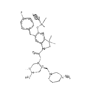 C[C@@H]1CN(CC(=O)N2CC(C)(C)c3nc(O[Si](C)(C)C(C)(C)C)c(Cc4ccc(F)cc4)cc32)[C@@H](CN2CCC[C@@H](N)C2)CN1C(=O)O